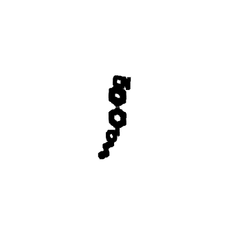 C=CCCOC[C@H]1CC[C@H](c2ccc(C#N)cc2)CC1